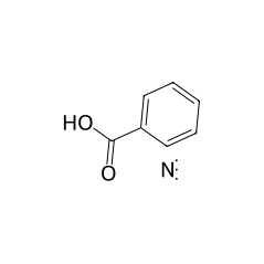 O=C(O)c1ccccc1.[N]